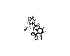 CCC[C@H]1COCCN1c1nc2c(C(=O)O)cccc2o1